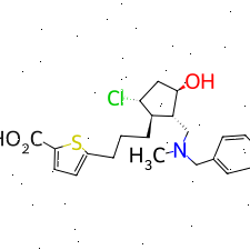 CN(Cc1ccccc1)C[C@@H]1[C@@H](CCCc2ccc(C(=O)O)s2)[C@H](Cl)C[C@H]1O